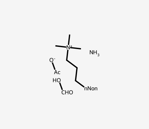 CC(=O)[O-].CCCCCCCCCCCC[N+](C)(C)C.N.O=CO